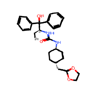 CC(C)C[C@H](NC(=O)N[C@H]1CC[C@H](CC2OCCO2)CC1)C(O)(c1ccccc1)c1ccccc1